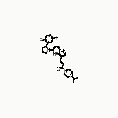 CC(C)N1CCN(C(=O)C=Cc2cnn3ccc(N4CCCC4c4cc(F)ccc4F)nc23)CC1